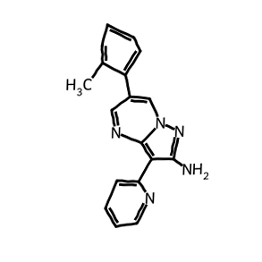 Cc1ccccc1-c1cnc2c(-c3ccccn3)c(N)nn2c1